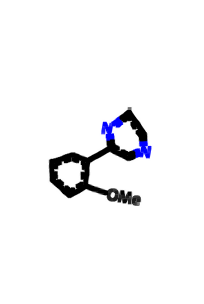 COc1ccccc1-c1cnc[c]n1